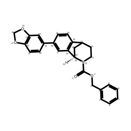 O=C(OCc1ccccc1)N1CCC2C[C@@H]1c1cc(-c3ccc4c(c3)OCO4)ccc12